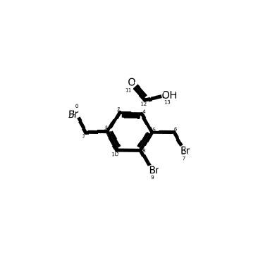 BrCc1ccc(CBr)c(Br)c1.O=CO